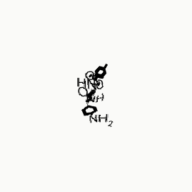 Cc1ccc(S(=O)(=O)NCC(=O)NC[C@H]2CC[C@H](N)CC2)cc1